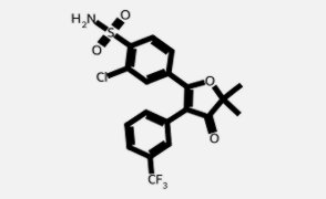 CC1(C)OC(c2ccc(S(N)(=O)=O)c(Cl)c2)=C(c2cccc(C(F)(F)F)c2)C1=O